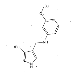 CCC(C)Oc1cccc(NCc2c[nH]nc2C(C)(C)C)c1